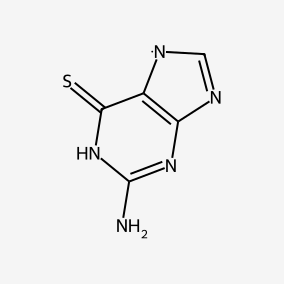 Nc1nc2c(c(=S)[nH]1)[N]C=N2